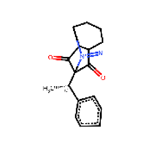 C[C@@H](c1ccccc1)C12C(=O)C3CCCC(C3C1=O)[N+]2=[N-]